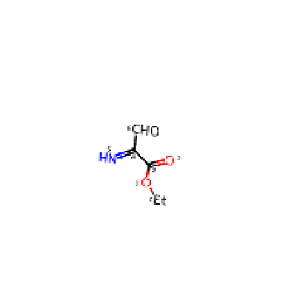 CCOC(=O)C(=N)C=O